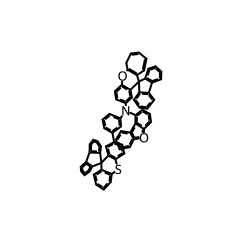 C1=CCC2=C(C=C1)C1(c3cc(N(c4cccc(-c5ccc6c(c5)C5(c7ccccc7S6)c6ccccc6-c6ccccc65)c4)c4cccc5oc6ccccc6c45)ccc3O2)c2ccccc2-c2ccccc21